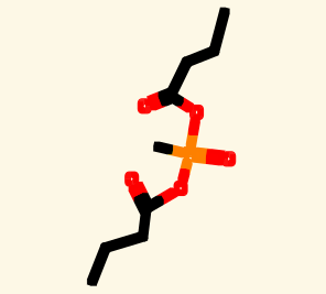 CCCC(=O)OP(C)(=O)OC(=O)CCC